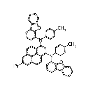 CC1=CCC(N(c2cc(N(c3ccc(C)cc3)c3cccc4c3oc3ccccc34)c3ccc4cc(C(C)C)cc5ccc2c3c45)c2cccc3c2oc2ccccc23)C=C1